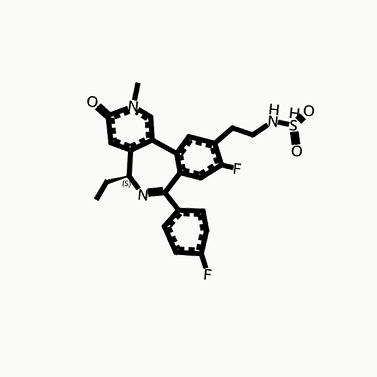 CC[C@@H]1N=C(c2ccc(F)cc2)c2cc(F)c(CCN[SH](=O)=O)cc2-c2cn(C)c(=O)cc21